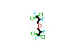 FC(COCC(F)C(F)(Cl)Cl)C(F)(Cl)Cl